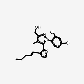 CCCC=Cc1ccsc1-c1c(C)c(CO)nn1-c1ccc(Cl)cc1Cl